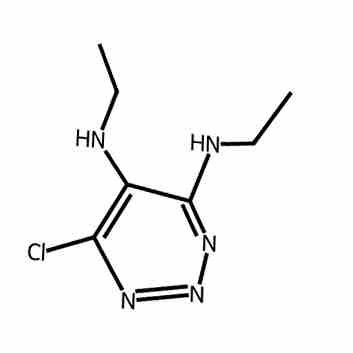 CCNc1nnnc(Cl)c1NCC